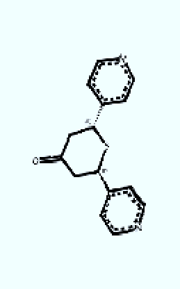 O=C1C[C@H](c2ccncc2)S[C@@H](c2ccncc2)C1